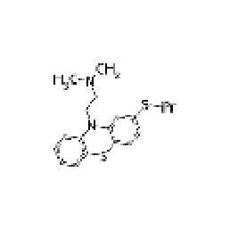 CC(C)Sc1ccc2c(c1)N(CCN(C)C)c1ccccc1S2